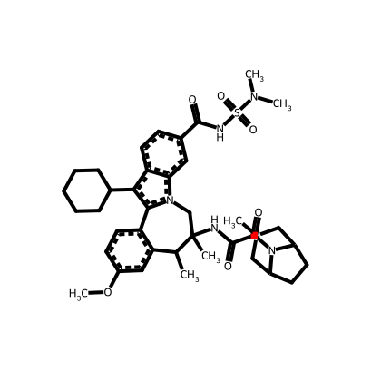 COc1ccc2c(c1)C(C)C(C)(NC(=O)C(=O)N1C3CCC1CN(C)C3)Cn1c-2c(C2CCCCC2)c2ccc(C(=O)NS(=O)(=O)N(C)C)cc21